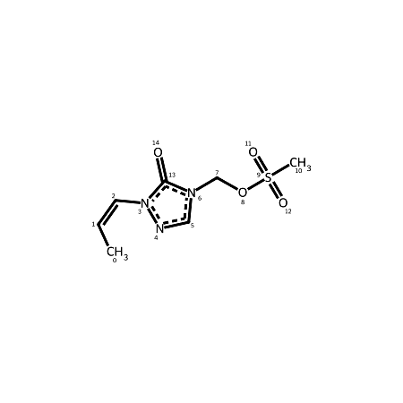 C/C=C\n1ncn(COS(C)(=O)=O)c1=O